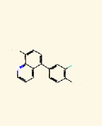 CCCCCCc1ccc(-c2ccc(C=O)c3ncccc23)cc1F